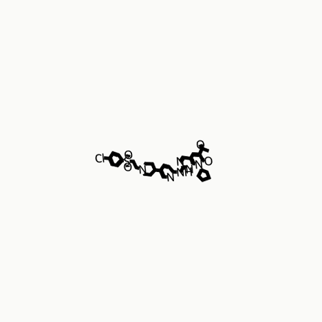 CC(=O)c1cc2cnc(Nc3ccc(C4CCN(CCS(=O)(=O)c5ccc(Cl)cc5)CC4)cn3)nc2n(C2CCCC2)c1=O